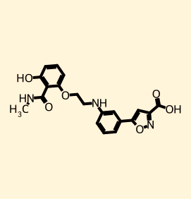 CNC(=O)c1c(O)cccc1OCCNc1cccc(-c2cc(C(=O)O)no2)c1